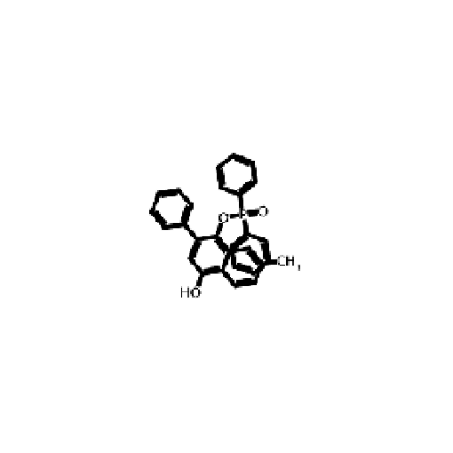 Cc1ccc2c(O)cc(-c3ccccc3)c(OP(=O)(c3ccccc3)c3ccccc3)c2c1